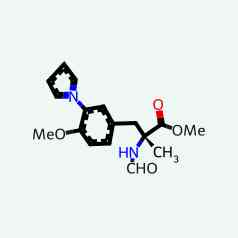 COC(=O)[C@@](C)(Cc1ccc(OC)c(-n2cccc2)c1)NC=O